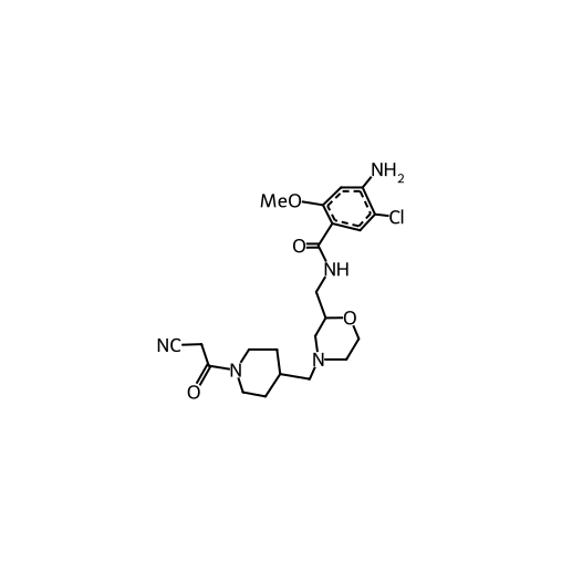 COc1cc(N)c(Cl)cc1C(=O)NCC1CN(CC2CCN(C(=O)CC#N)CC2)CCO1